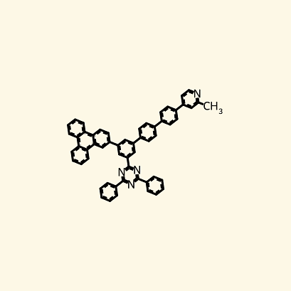 Cc1cc(-c2ccc(-c3ccc(-c4cc(-c5ccc6c7ccccc7c7ccccc7c6c5)cc(-c5nc(-c6ccccc6)nc(-c6ccccc6)n5)c4)cc3)cc2)ccn1